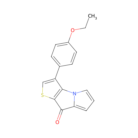 CCOc1ccc(-c2csc3c2-n2cccc2C3=O)cc1